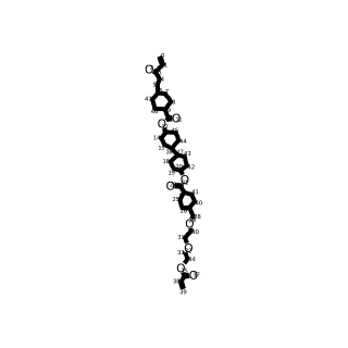 C=CC(=O)CCC1CCC(C(=O)OC2CCC(C3CCC(OC(=O)C4CCC(COCCOCCOC(=O)C=C)CC4)CC3)CC2)CC1